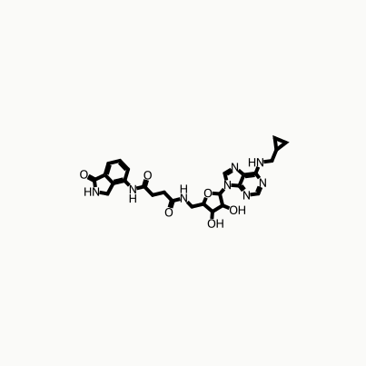 O=C(CCC(=O)Nc1cccc2c1CNC2=O)NCC1OC(n2cnc3c(NCC4CC4)ncnc32)C(O)C1O